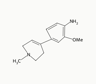 COc1cc(C2=CCN(C)CC2)ccc1N